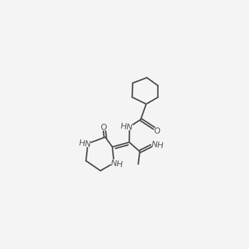 CC(=N)/C(NC(=O)C1CCCCC1)=C1\NCCNC1=O